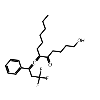 CCCCCCC(=C=C(CC(F)(F)F)c1ccccc1)C(=O)CCCCO